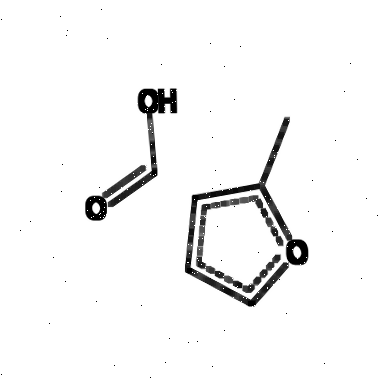 Cc1ccco1.O=CO